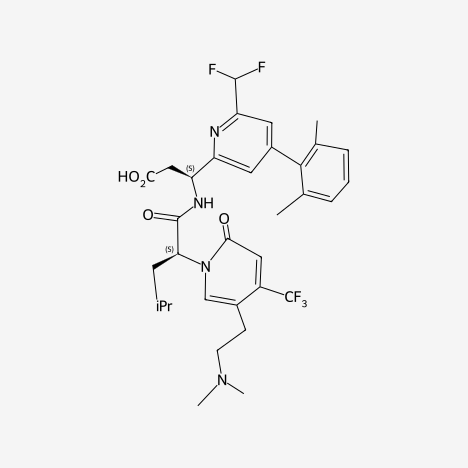 Cc1cccc(C)c1-c1cc(C(F)F)nc([C@H](CC(=O)O)NC(=O)[C@H](CC(C)C)n2cc(CCN(C)C)c(C(F)(F)F)cc2=O)c1